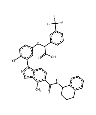 Cc1c(C(=O)NC2CCCc3ccccc32)ccc2c1nnn2-c1cc(OC(C(=O)O)c2cccc(C(F)(F)F)c2)ccc1Cl